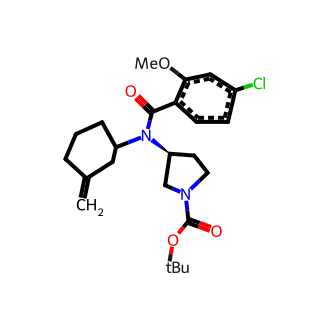 C=C1CCCC(N(C(=O)c2ccc(Cl)cc2OC)[C@H]2CCN(C(=O)OC(C)(C)C)C2)C1